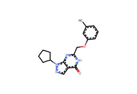 N#Cc1cccc(OCc2nc3c(cnn3C3CCCC3)c(=O)[nH]2)c1